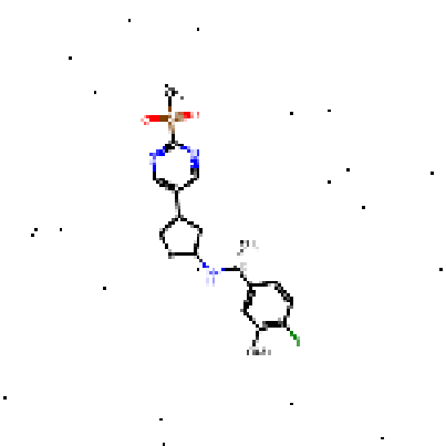 COc1cc([C@@H](C)NC2CCC(c3cnc(S(C)(=O)=O)nc3)C2)ccc1F